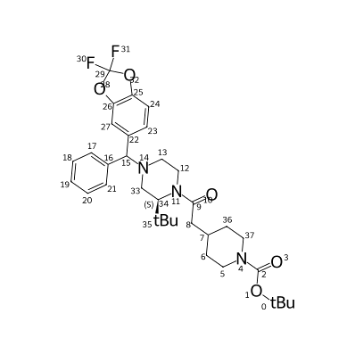 CC(C)(C)OC(=O)N1CCC(CC(=O)N2CCN(C(c3ccccc3)c3ccc4c(c3)OC(F)(F)O4)C[C@@H]2C(C)(C)C)CC1